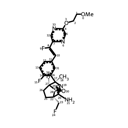 COCCOc1cnc(/C(F)=C/c2ccc(F)c([C@@]3(C)N=C(N)[C@@]4(CF)CC[C@@H]3S4(=O)=O)c2)cn1